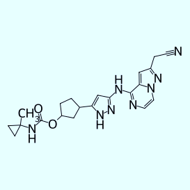 CC1(NC(=O)OC2CCC(c3cc(Nc4nccn5nc(CC#N)cc45)n[nH]3)C2)CC1